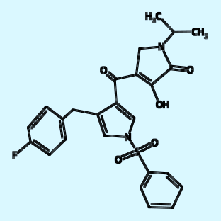 CC(C)N1CC(C(=O)c2cn(S(=O)(=O)c3ccccc3)cc2Cc2ccc(F)cc2)=C(O)C1=O